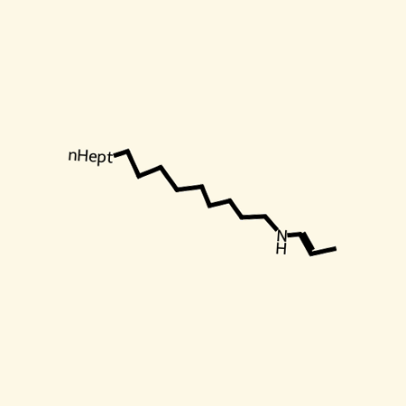 CC=CNCCCCCCCCCCCCCCCC